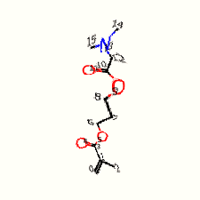 C=C(C)C(=O)OCCCOC(=O)CN(C)C